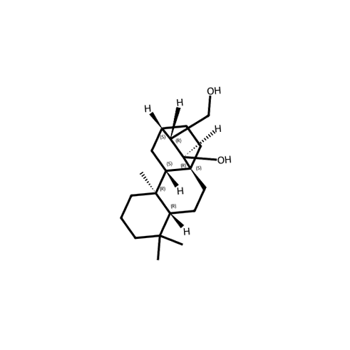 CC1(C)CCC[C@]2(C)[C@@H]1CC[C@@]13CC[C@@H](C[C@@H]21)[C@H](CO)[C@H]3O